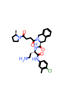 Cc1cc(NC(=O)[C@H](CCN)NC(=O)[C@@H]2Cc3ccccc3CN2C(=O)CCC(=O)N2CCC[C@H]2C)ccc1Cl